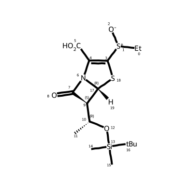 CC[S+]([O-])C1=C(C(=O)O)N2C(=O)[C@H]([C@@H](C)O[Si](C)(C)C(C)(C)C)[C@H]2S1